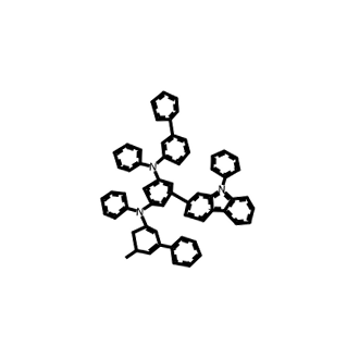 CC1C=C(c2ccccc2)C=C(N(c2ccccc2)c2cc(-c3ccc4c5ccccc5n(-c5ccccc5)c4c3)cc(N(c3ccccc3)c3cccc(-c4ccccc4)c3)c2)C1